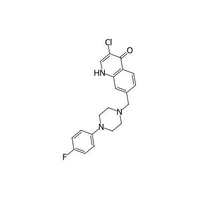 O=c1c(Cl)c[nH]c2cc(CN3CCN(c4ccc(F)cc4)CC3)ccc12